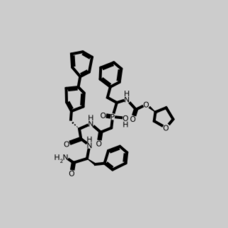 NC(=O)[C@H](Cc1ccccc1)NC(=O)[C@H](Cc1ccc(-c2ccccc2)cc1)NC(=O)CP(=O)(O)C(Cc1ccccc1)NC(=O)O[C@H]1CCOC1